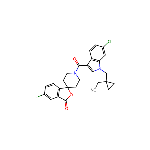 N#CCC1(Cn2cc(C(=O)N3CCC4(CC3)OC(=O)c3cc(F)ccc34)c3ccc(Cl)cc32)CC1